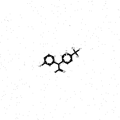 CC(=O)C(c1ccc(C(F)(F)F)nc1)c1cccc(F)c1